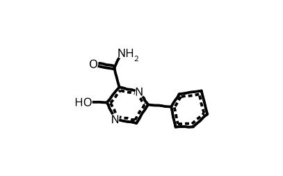 NC(=O)c1nc(-c2ccccc2)cnc1O